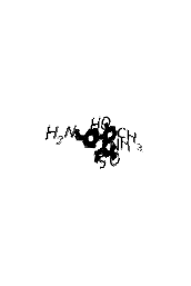 Cc1cc(O)c(-c2ccc(CCN)cc2)c2c1[nH]c(=O)c1sccc12